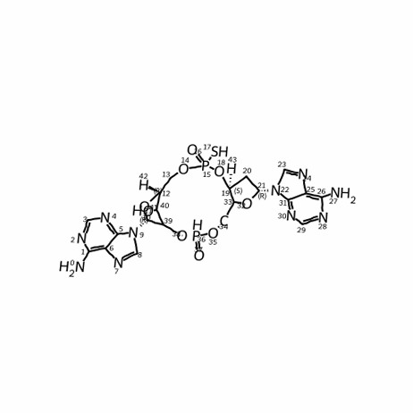 Nc1ncnc2c1ncn2[C@@H]1O[C@@H]2COP(=O)(S)O[C@H]3C[C@H](n4cnc5c(N)ncnc54)OC3CO[PH](=O)OC1C2O